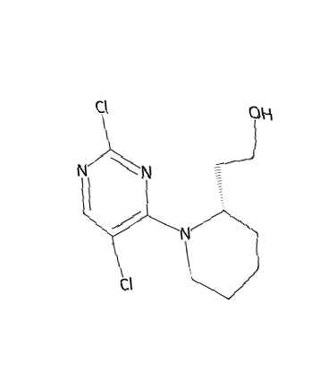 OCC[C@@H]1CCCCN1c1nc(Cl)ncc1Cl